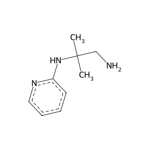 CC(C)(CN)Nc1ccccn1